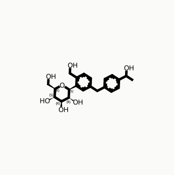 CC(O)c1ccc(Cc2ccc(CO)c([C@@H]3O[C@H](CO)[C@@H](O)[C@H](O)[C@H]3O)c2)cc1